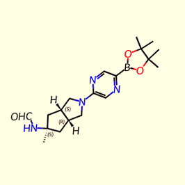 CC1(C)OB(c2cnc(N3C[C@@H]4C[C@@](C)(NC=O)C[C@@H]4C3)cn2)OC1(C)C